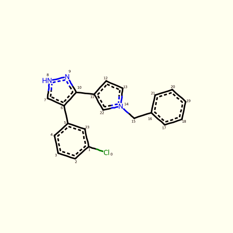 Clc1cccc(-c2c[nH]nc2-c2ccn(Cc3ccccc3)c2)c1